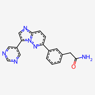 NC(=O)Cc1cccc(-c2ccc3ncc(-c4cncnc4)n3n2)c1